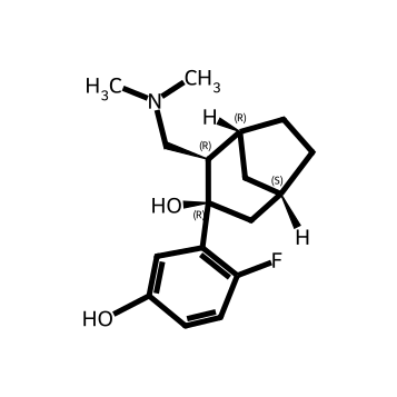 CN(C)C[C@H]1[C@@H]2CC[C@@H](C2)C[C@]1(O)c1cc(O)ccc1F